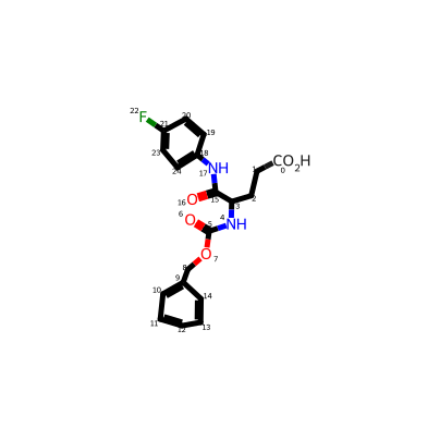 O=C(O)CCC(NC(=O)OCc1ccccc1)C(=O)Nc1ccc(F)cc1